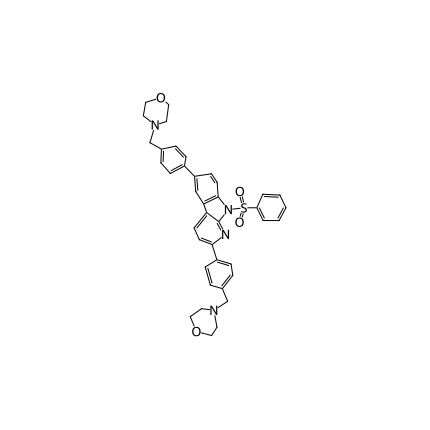 O=S(=O)(c1ccccc1)n1c2ccc(-c3ccc(CN4CCOCC4)cc3)cc2c2ccc(-c3ccc(CN4CCOCC4)cc3)nc21